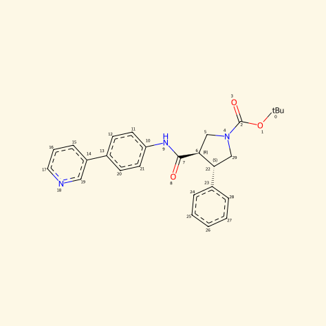 CC(C)(C)OC(=O)N1C[C@H](C(=O)Nc2ccc(-c3cccnc3)cc2)[C@@H](c2ccccc2)C1